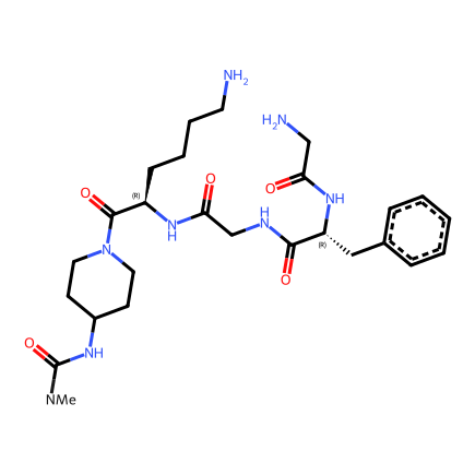 CNC(=O)NC1CCN(C(=O)[C@@H](CCCCN)NC(=O)CNC(=O)[C@@H](Cc2ccccc2)NC(=O)CN)CC1